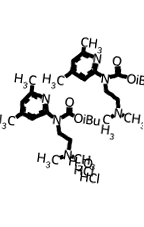 Cc1cc(C)nc(N(CCN(C)C)C(=O)OCC(C)C)c1.Cc1cc(C)nc(N(CCN(C)C)C(=O)OCC(C)C)c1.Cl.Cl.O